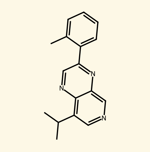 Cc1ccccc1-c1cnc2c(C(C)C)cncc2n1